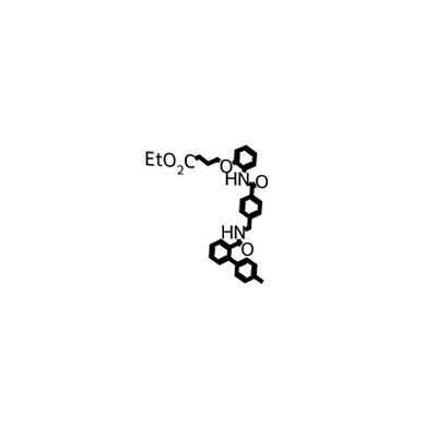 CCOC(=O)CCCOc1ccccc1NC(=O)c1ccc(CNC(=O)c2ccccc2-c2ccc(C)cc2)cc1